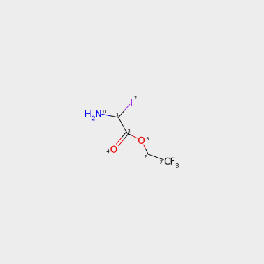 NC(I)C(=O)OCC(F)(F)F